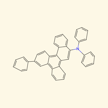 c1ccc(-c2ccc3c(c2)c2ccccc2c2cc(N(c4ccccc4)c4ccccc4)c4ccccc4c32)cc1